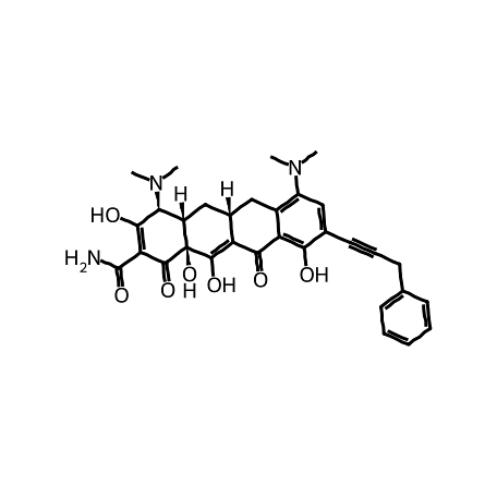 CN(C)c1cc(C#CCc2ccccc2)c(O)c2c1C[C@H]1C[C@H]3[C@H](N(C)C)C(O)=C(C(N)=O)C(=O)[C@@]3(O)C(O)=C1C2=O